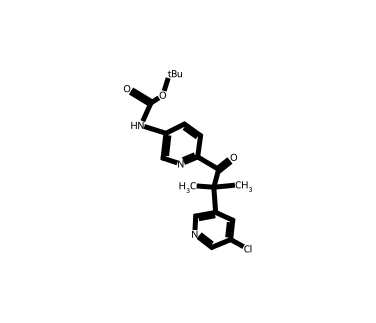 CC(C)(C)OC(=O)Nc1ccc(C(=O)C(C)(C)c2cncc(Cl)c2)nc1